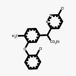 CCOC(=O)C(c1ccc(C)c(Oc2ccccc2Cl)c1)c1ccc(Cl)nn1